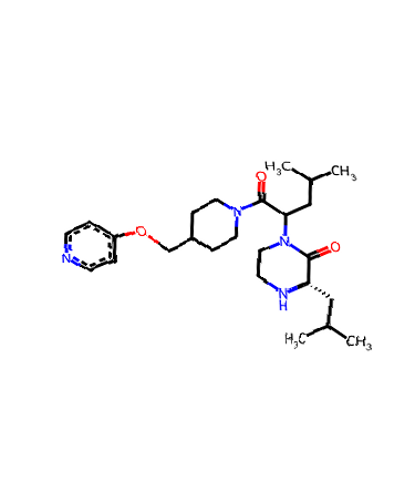 CC(C)CC(C(=O)N1CCC(COc2ccncc2)CC1)N1CCN[C@@H](CC(C)C)C1=O